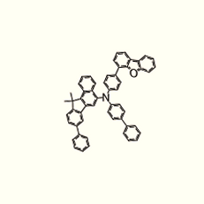 CC1(C)c2ccc(-c3ccccc3)cc2-c2cc(N(c3ccc(-c4ccccc4)cc3)c3ccc(-c4cccc5c4oc4ccccc45)cc3)c3ccccc3c21